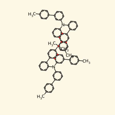 Cc1ccc(-c2cccc(N(c3cccc(-c4ccc(C)cc4)c3)c3ccccc3-c3ccc(C(C)(C)c4ccc(-c5ccccc5N(c5cccc(-c6ccc(C)cc6)c5)c5cccc(-c6ccc(C)cc6)c5)cc4)cc3)c2)cc1